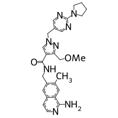 COCc1nn(Cc2cnc(N3CCCC3)nc2)cc1C(=O)NCc1cc2ccnc(N)c2cc1C